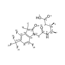 C[C@H](CC(=O)O)[C@@H](C)NC(=O)CN1C(=O)C(C)(C)c2c(F)c(C(F)(F)F)cc(F)c21